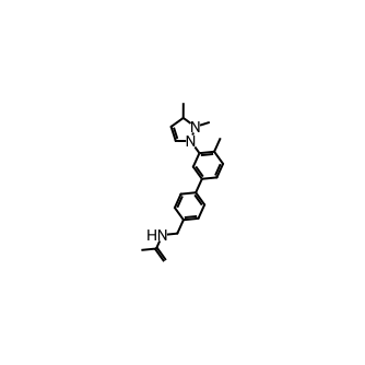 C=C(C)NCc1ccc(-c2ccc(C)c(N3C=CC(C)N3C)c2)cc1